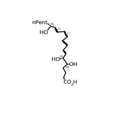 CCCCC[C@H](O)/C=C/C=C\C=CC=C[C@H](O)[C@@H](O)CCCC(=O)O